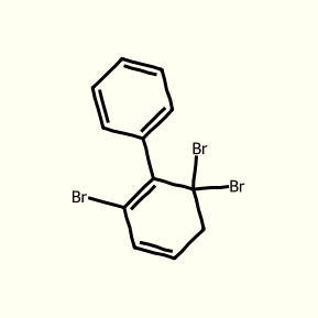 BrC1=C(c2ccccc2)C(Br)(Br)CC=C1